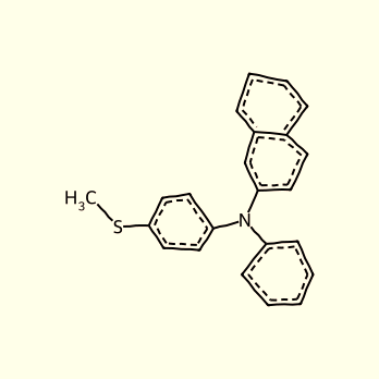 CSc1ccc(N(c2ccccc2)c2ccc3ccccc3c2)cc1